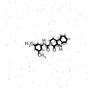 Cc1cc(C)cc(NC(=O)N2CCc3c([nH]c4ccccc34)C2=O)c1